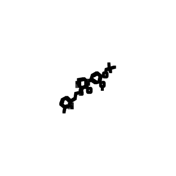 COc1cc(-n2ccnc(SCCc3cccc(C)n3)c2=O)ccc1OCC(C)(C)C